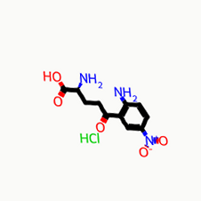 Cl.Nc1ccc([N+](=O)[O-])cc1C(=O)CC[C@H](N)C(=O)O